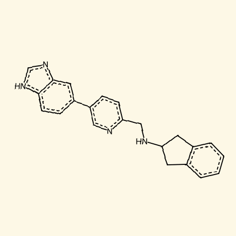 c1ccc2c(c1)CC(NCc1ccc(-c3ccc4[nH]cnc4c3)cn1)C2